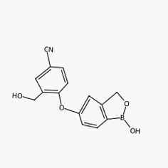 N#Cc1ccc(Oc2ccc3c(c2)COB3O)c(CO)c1